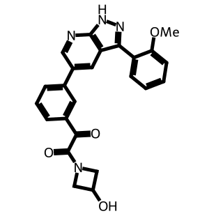 COc1ccccc1-c1n[nH]c2ncc(-c3cccc(C(=O)C(=O)N4CC(O)C4)c3)cc12